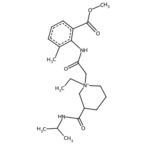 CC[N+]1(CC(=O)Nc2c(C)cccc2C(=O)OC)CCCC(C(=O)NC(C)C)C1